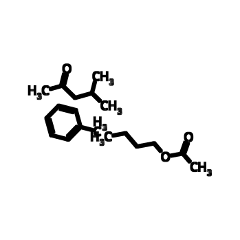 CC(=O)CC(C)C.CCCCOC(C)=O.Cc1ccccc1